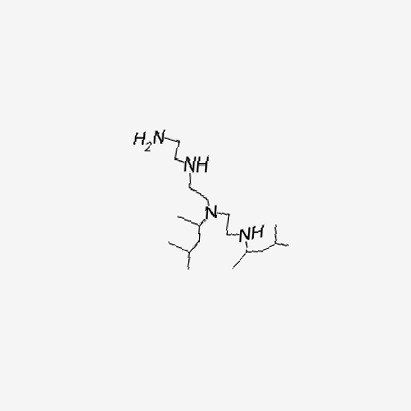 CC(C)CC(C)NCCN(CCNCCN)C(C)CC(C)C